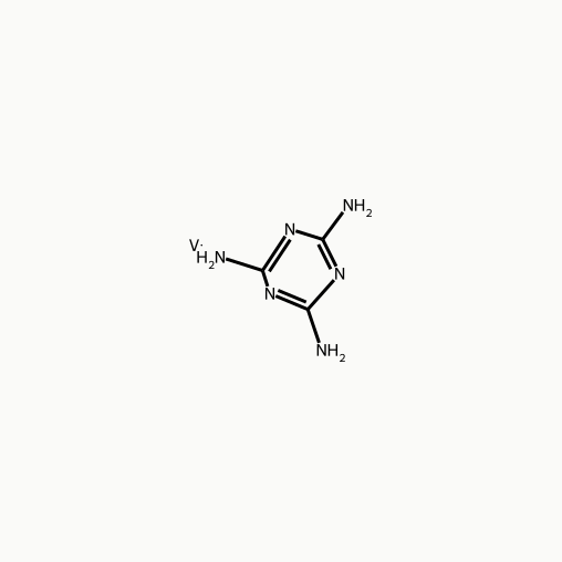 Nc1nc(N)nc(N)n1.[V]